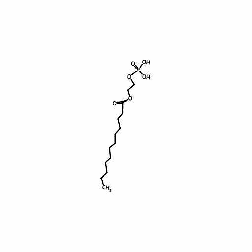 CCCCCCCCCCCC(=O)OCCOP(=O)(O)O